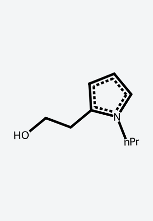 CCCn1cccc1CCO